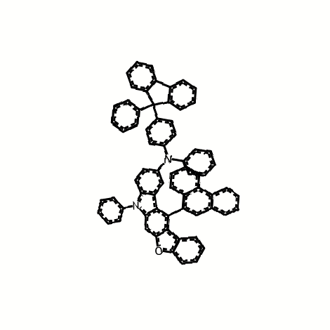 c1ccc(N(c2ccc(C3(c4ccccc4)c4ccccc4-c4ccccc43)cc2)c2ccc3c(c2)c2c(-c4cc5ccccc5c5ccccc45)c4c(cc2n3-c2ccccc2)oc2ccccc24)cc1